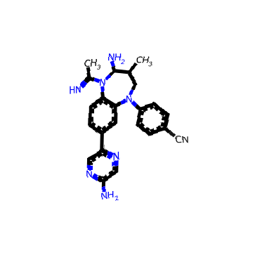 CC(=N)N1c2ccc(-c3cnc(N)cn3)cc2N(c2ccc(C#N)cc2)CC(C)C1N